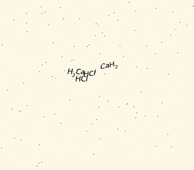 Cl.Cl.[CaH2].[CaH2]